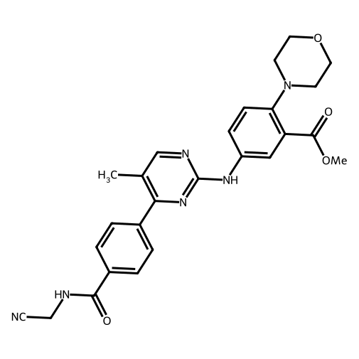 COC(=O)c1cc(Nc2ncc(C)c(-c3ccc(C(=O)NCC#N)cc3)n2)ccc1N1CCOCC1